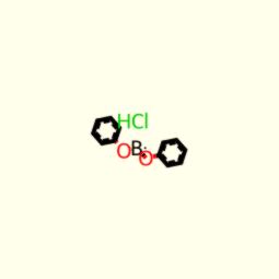 Cl.[B](Oc1ccccc1)Oc1ccccc1